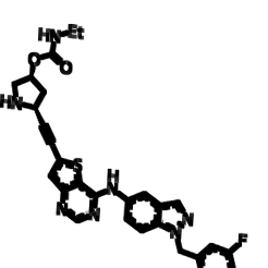 CCNC(=O)O[C@@H]1CN[C@H](C#Cc2cc3ncnc(Nc4ccc5c(cnn5Cc5cccc(F)c5)c4)c3s2)C1